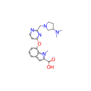 CN(C)C1CCN(Cc2nccc(Oc3cccc4cc(C(=O)O)n(C)c34)n2)C1